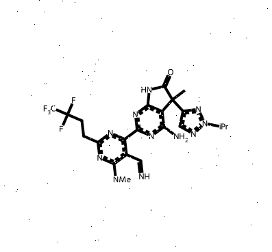 CNc1nc(CCC(F)(F)C(F)(F)F)nc(-c2nc(N)c3c(n2)NC(=O)C3(C)c2cnn(C(C)C)n2)c1C=N